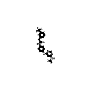 CC(=O)Nc1cc(Oc2ccc(NC(=O)Cc3cccc(C(F)(F)F)c3)cc2)ncn1